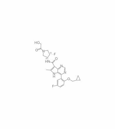 Cc1[nH]c2c(-c3cc(F)ccc3OCC3CC3)ncnc2c1C(=O)N[C@@H]1CN(C(=O)CO)C[C@@H]1F